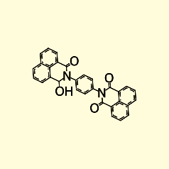 O=C1c2cccc3cccc(c23)C(=O)N1c1ccc(N2C(=O)c3cccc4cccc(c34)C2O)cc1